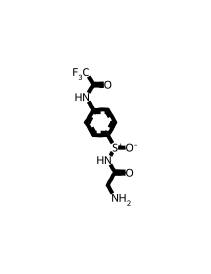 NCC(=O)N[S+]([O-])c1ccc(NC(=O)C(F)(F)F)cc1